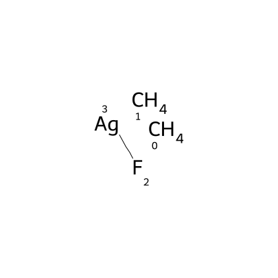 C.C.[F][Ag]